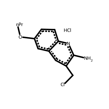 CCCOc1ccc2nc(N)c(CCl)cc2c1.Cl